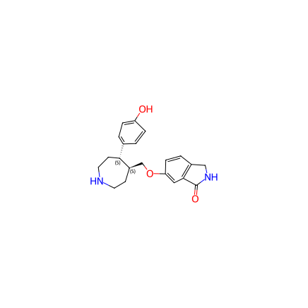 O=C1NCc2ccc(OC[C@H]3CCNCC[C@@H]3c3ccc(O)cc3)cc21